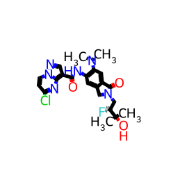 CN(C)c1cc2c(cc1NC(=O)c1cnn3ccc(Cl)nc13)CN(C[C@@H](F)C(C)(C)O)C2=O